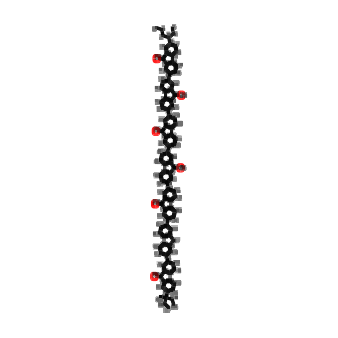 CCCC(CC)c1ccc2c(c1)C(=O)c1cc(-c3ccc4c(c3)C(=O)c3cc(-c5ccc6c(c5)C(=O)c5cc(-c7ccc8c(c7)C(=O)c7cc(-c9ccc%10c(c9)C(=O)c9cc(-c%11ccc%12c(c%11)Cc%11cc(-c%13ccc%14c(c%13)C(=O)c%13cc(C(C)(CC)CC)ccc%13-%14)ccc%11-%12)ccc9-%10)ccc7-8)ccc5-6)ccc3-4)ccc1-2